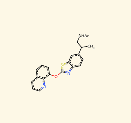 CC(=O)NCC(C)c1ccc2nc(Oc3cccc4cccnc34)sc2c1